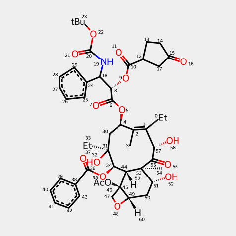 CC/C1=C(/C)[C@H](OC(=O)[C@@H](OC(=O)C2CCC(=O)C2)C(NC(=O)OC(C)(C)C)c2ccccc2)C[C@@](O)(CC)[C@H](OC(=O)c2ccccc2)[C@H]2[C@@]3(OC(C)=O)CO[C@H]3C[C@@H](O)[C@]2(C)C(=O)[C@H]1O